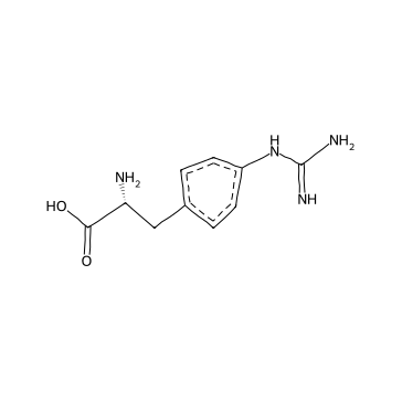 N=C(N)Nc1ccc(C[C@@H](N)C(=O)O)cc1